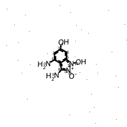 Nc1cc(O)cc2c1c(N)[n+]([O-])n2O